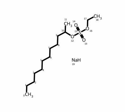 CCCCCCCCCCC(C)OS(=O)(=O)OCC.[NaH]